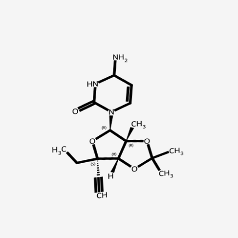 C#C[C@]1(CC)O[C@@H](N2C=CC(N)NC2=O)[C@]2(C)OC(C)(C)O[C@@H]21